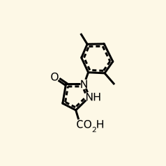 Cc1ccc(C)c(-n2[nH]c(C(=O)O)cc2=O)c1